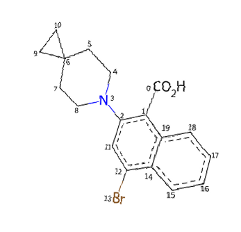 O=C(O)c1c(N2CCC3(CC2)CC3)cc(Br)c2ccccc12